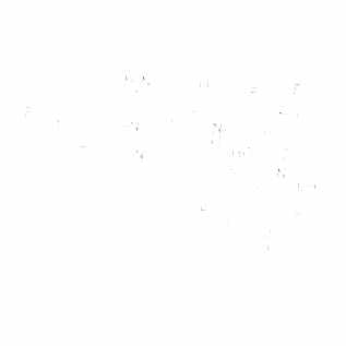 CN(CC(O)(CNC(=O)c1cnn(-c2ccc(F)cc2)c1N)C(F)(F)F)C(=O)c1c(F)cccc1F